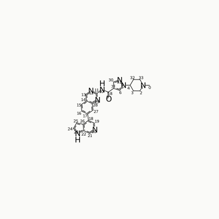 CN1CCC(n2cc(C(=O)Nc3ncc4ccc(-c5cncc6[nH]ccc56)cc4n3)cn2)CC1